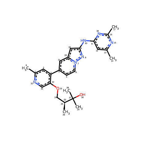 Cc1cc(-c2ccn3nc(Nc4cc(C)nc(C)n4)cc3c2)c(OC[C@H](C)C(C)(C)O)cn1